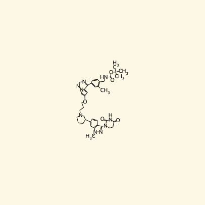 Cc1cc(-c2ncnn3cc(OCCCN4CCCC(c5ccc6c(N7CCC(=O)NC7=O)nn(C)c6c5)C4)cc23)ccc1CNC(=O)OC(C)(C)C